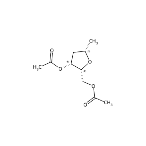 CC(=O)OC[C@H]1O[C@@H](C)C[C@H]1OC(C)=O